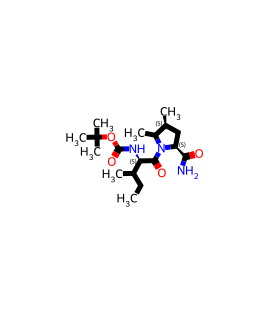 CCC(C)[C@H](NC(=O)OC(C)(C)C)C(=O)N1C(C)[C@@H](C)C[C@H]1C(N)=O